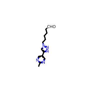 Cc1ncc(-c2cn(CCCCCC=O)nn2)cn1